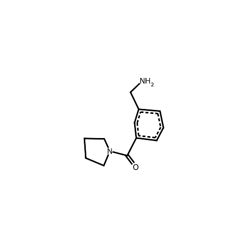 NCc1cccc(C(=O)N2CCCC2)c1